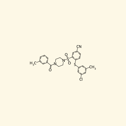 Cc1cc(Cl)cc(Sc2ccc(C#N)cc2S(=O)(=O)N2CCN(C(=O)c3cccc(C)c3)CC2)c1